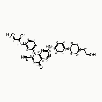 C=CC(=O)Nc1cccc(-n2c(C#N)nc(=O)c3cnc(Nc4ccc(N5CCN(CCO)CC5)cc4)nc32)c1